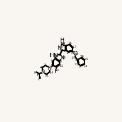 CC(C)N1CCN(c2cc3[nH]c(-c4n[nH]c5ccc(OCc6ccccc6)cc45)nc3cc2F)CC1